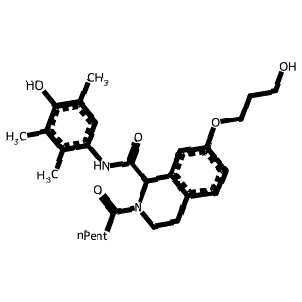 CCCCCC(=O)N1CCc2ccc(OCCCO)cc2C1C(=O)Nc1cc(C)c(O)c(C)c1C